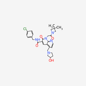 CC1(C)CN(C(=O)Cn2c(=O)c(C(=O)NCc3ccc(Cl)cc3)cc3c(CN4CCC(O)C4)ccnc32)C1